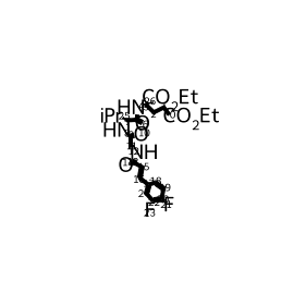 CCOC(=O)CC[C@@H](NC(=O)[C@@H](NC(=O)CNC(=O)/C=C/c1ccc(F)c(F)c1)C(C)C)C(=O)OCC